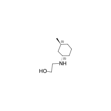 C[C@H]1CCC[C@H](NCCO)C1